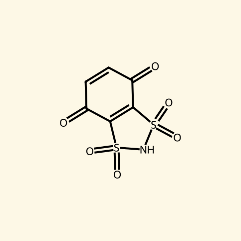 O=C1C=CC(=O)C2=C1S(=O)(=O)NS2(=O)=O